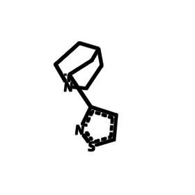 c1cc([C]2CC3CCN2CC3)ns1